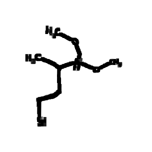 CO[SiH](OC)C(C)CCS